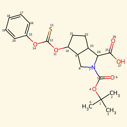 CC(C)(C)OC(=O)N1CC2C(OC(=S)Oc3ccccc3)CCC2C1C(=O)O